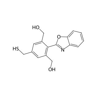 OCc1cc(CS)cc(CO)c1-c1nc2ccccc2o1